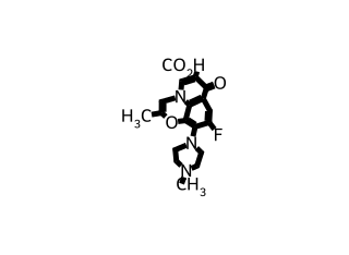 CC1=Cn2cc(C(=O)O)c(=O)c3cc(F)c(N4CCN(C)CC4)c(c32)O1